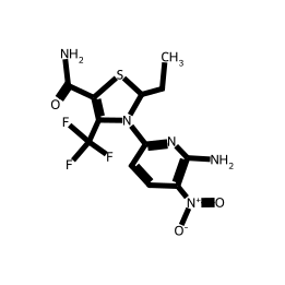 CCC1SC(C(N)=O)=C(C(F)(F)F)N1c1ccc([N+](=O)[O-])c(N)n1